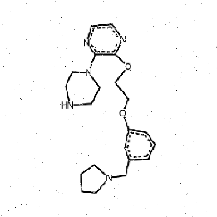 c1cc(CN2CCCC2)cc(OCCOc2nccnc2N2CCNCC2)c1